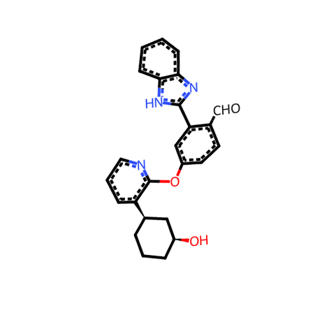 O=Cc1ccc(Oc2ncccc2[C@@H]2CCC[C@H](O)C2)cc1-c1nc2ccccc2[nH]1